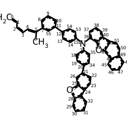 C=C/C=C\C=C(/C)c1cccc(-c2ccc(N(c3ccc(-c4ccc5c(c4)oc4ccccc45)cc3)c3cccc4c3oc3c5ccccc5ccc43)cc2)c1